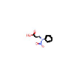 O=C(O)CCN(c1ccccc1)[N+](=O)[O-]